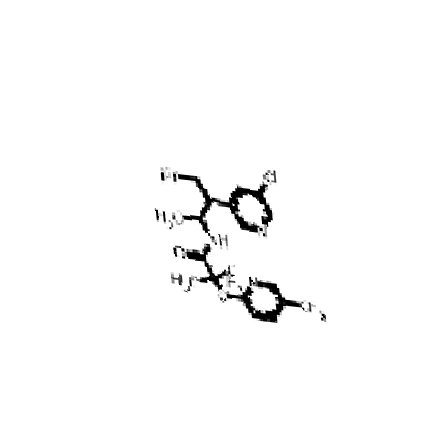 CC(C)CC(c1cncc(Cl)c1)C(C)NC(=O)C(C)(C)Oc1ccc(C(F)(F)F)cn1